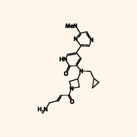 CNc1cncc(-c2c[nH]c(=O)c(N(CC3CC3)C3CN(C(=O)C=CCN)C3)c2)n1